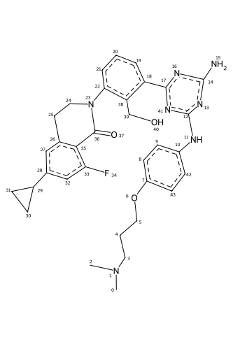 CN(C)CCCOc1ccc(Nc2nc(N)nc(-c3cccc(N4CCc5cc(C6CC6)cc(F)c5C4=O)c3CO)n2)cc1